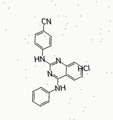 Cl.N#Cc1ccc(Nc2nc(Nc3ccccc3)c3ccccc3n2)cc1